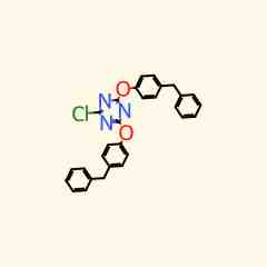 Clc1nc(Oc2ccc(Cc3ccccc3)cc2)nc(Oc2ccc(Cc3ccccc3)cc2)n1